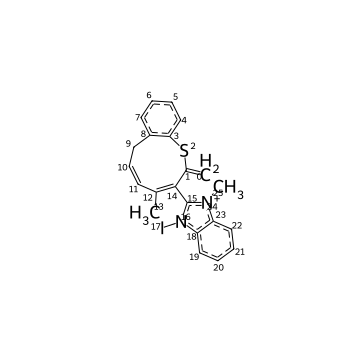 C=C1Sc2ccccc2C/C=C\C(C)=C/1c1n(I)c2ccccc2[n+]1C